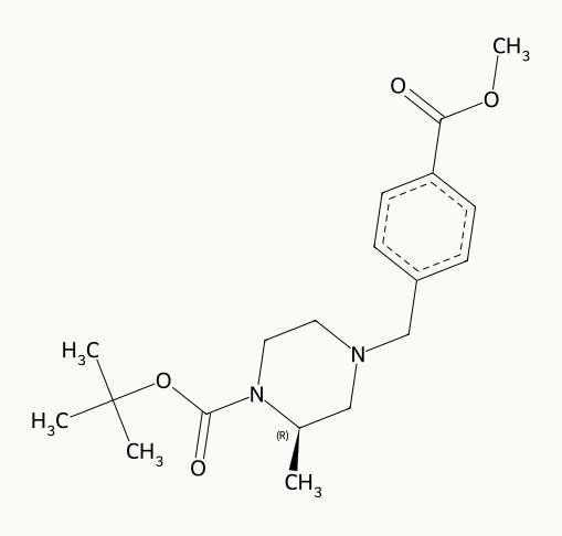 COC(=O)c1ccc(CN2CCN(C(=O)OC(C)(C)C)[C@H](C)C2)cc1